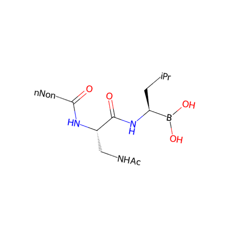 CCCCCCCCCC(=O)N[C@@H](CNC(C)=O)C(=O)N[C@@H](CC(C)C)B(O)O